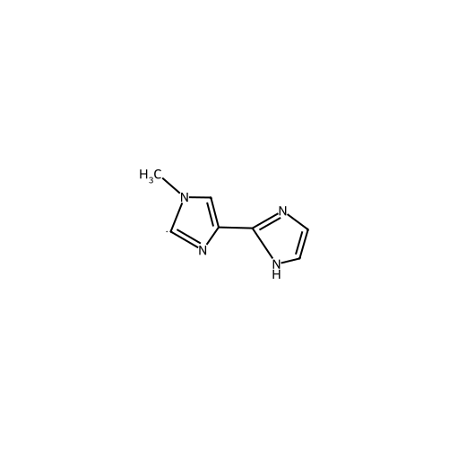 Cn1[c]nc(-c2ncc[nH]2)c1